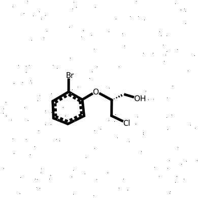 OC[C@H](CCl)Oc1ccccc1Br